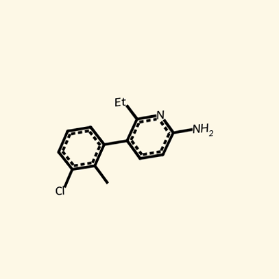 CCc1nc(N)ccc1-c1cccc(Cl)c1C